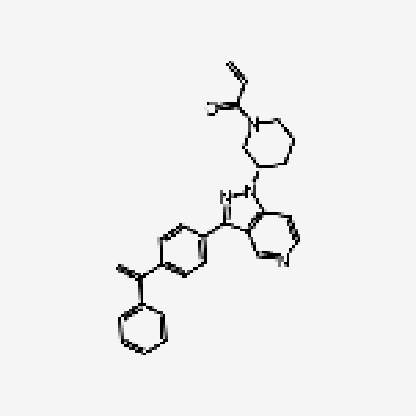 C=CC(=O)N1CCC[C@@H](n2nc(-c3ccc(C(=C)c4ccccc4)cc3)c3cnccc32)C1